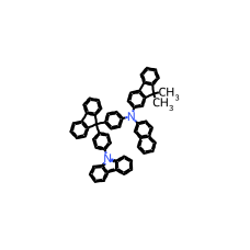 CC1(C)c2ccccc2-c2ccc(N(c3ccc(C4(c5ccc(-n6c7ccccc7c7ccccc76)cc5)c5ccccc5-c5ccccc54)cc3)c3ccc4ccccc4c3)cc21